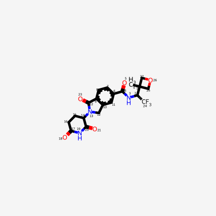 CC1(C(NC(=O)c2ccc3c(c2)CN(C2CCC(=O)NC2=O)C3=O)C(F)(F)F)COC1